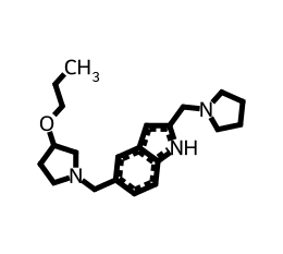 CCCOC1CCN(Cc2ccc3[nH]c(CN4CCCC4)cc3c2)C1